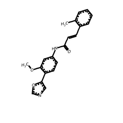 COc1cc(NC(=O)C=Cc2ccccc2C)ccc1-c1cnco1